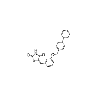 O=C1NC(=O)/C(=C\c2cccc(OCc3ccc(-c4ccccc4)cc3)c2)S1